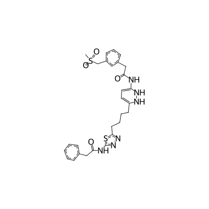 CS(=O)(=O)Cc1cccc(CC(=O)NC2=CC=C(CCCCc3nnc(NC(=O)Cc4ccccc4)s3)NN2)c1